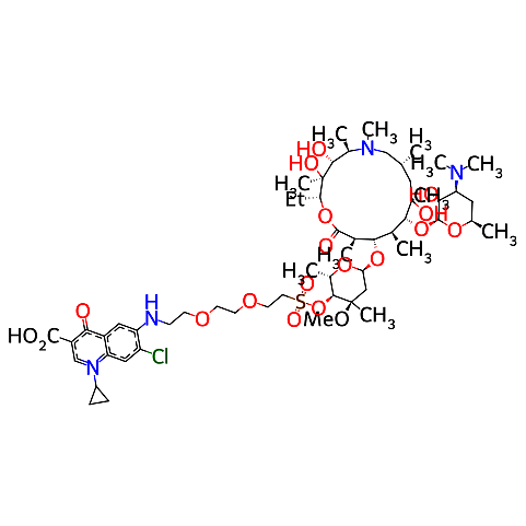 CC[C@H]1OC(=O)[C@H](C)[C@@H](O[C@H]2C[C@@](C)(OC)[C@@H](OS(=O)(=O)CCOCCOCCNc3cc4c(=O)c(C(=O)O)cn(C5CC5)c4cc3Cl)[C@H](C)O2)[C@H](C)[C@@H](O[C@@H]2O[C@H](C)C[C@H](N(C)C)[C@H]2O)[C@](C)(O)C[C@@H](C)CN(C)[C@H](C)[C@@H](O)[C@]1(C)O